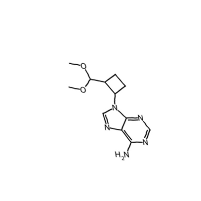 COC(OC)C1CCC1n1cnc2c(N)ncnc21